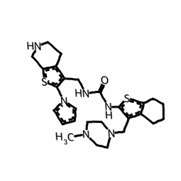 CN1CCN(Cc2c(NC(=O)NCc3c(-n4cccc4)sc4c3CCNC4)sc3c2CCCC3)CC1